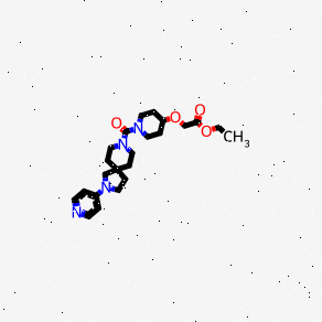 CCOC(=O)COC1CCN(C(=O)N2CCC3(CC2)CCN(c2ccncc2)C3)CC1